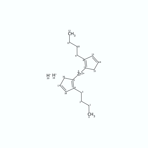 CCCCC1=[C]([Zr+2][C]2=C(CCCC)C=CC2)CC=C1.[H-].[H-]